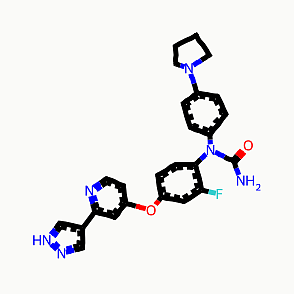 NC(=O)N(c1ccc(N2CCCC2)cc1)c1ccc(Oc2ccnc(-c3cn[nH]c3)c2)cc1F